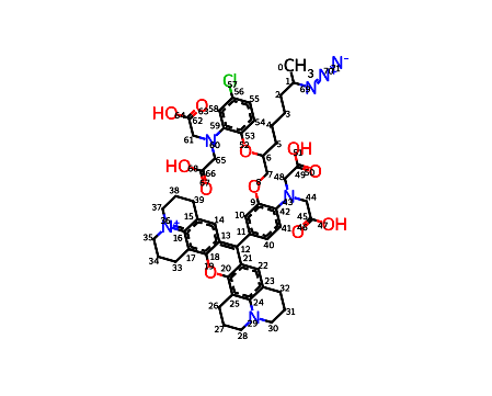 CC(CCCCC(COc1cc(C2=c3cc4c5c(c3Oc3c2cc2c6c3CCCN6CCC2)CCC[N+]=5CCC4)ccc1N(CC(=O)O)CC(=O)O)Oc1ccc(Cl)cc1N(CC(=O)O)CC(=O)O)N=[N+]=[N-]